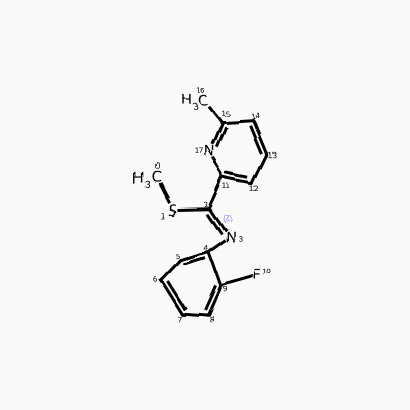 CS/C(=N\c1ccccc1F)c1cccc(C)n1